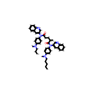 CCCCCN(C)c1ccc(N(C(=O)C(C)CCC(=O)N(c2ccc(N(C)CCC)cc2)c2cnc3ccccc3c2)c2cnc3ccccc3c2)cc1